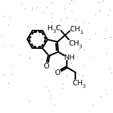 CCC(=O)NC1=C(C(C)(C)C)c2ccccc2C1=O